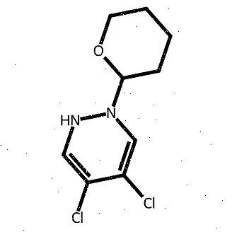 ClC1=CNN(C2CCCCO2)C=C1Cl